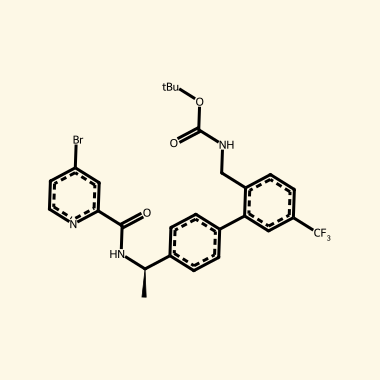 C[C@@H](NC(=O)c1cc(Br)ccn1)c1ccc(-c2cc(C(F)(F)F)ccc2CNC(=O)OC(C)(C)C)cc1